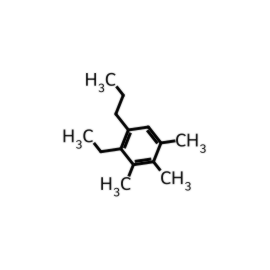 CCCc1cc(C)c(C)c(C)c1CC